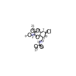 CO/C=C(/Oc1ccc(Cl)cc1/C=C/C(=O)OC)C(=O)OC